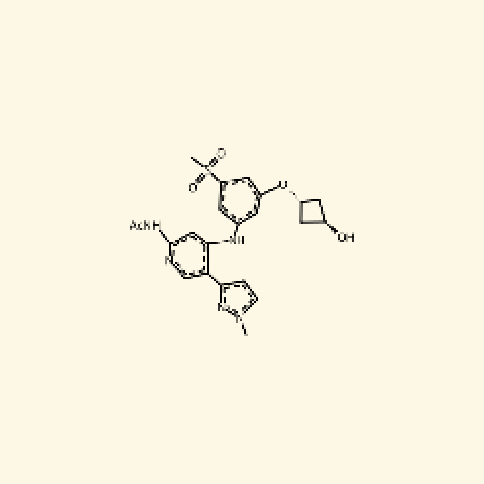 CC(=O)Nc1cc(Nc2cc(O[C@H]3C[C@H](O)C3)cc(S(C)(=O)=O)c2)c(-c2ccn(C)n2)cn1